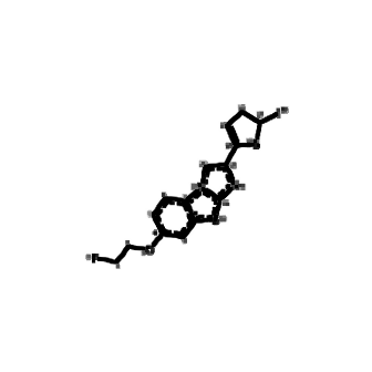 FCCOc1ccc2c(c1)sc1nc(C3=CCC(I)S3)cn12